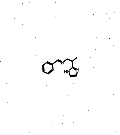 CC(CN=Cc1ccccc1)c1ncc[nH]1